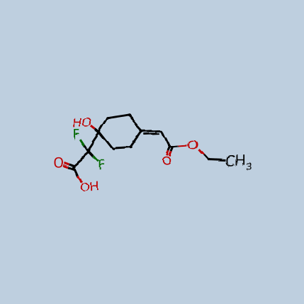 CCOC(=O)C=C1CCC(O)(C(F)(F)C(=O)O)CC1